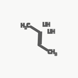 CC=CC.[LiH].[LiH]